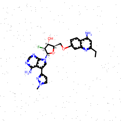 CCc1cc(N)c2ccc(OC[C@H]3O[C@@H](n4cc(-c5ccn(C)n5)c5c(N)ncnc54)[C@@H](F)[C@@H]3O)cc2n1